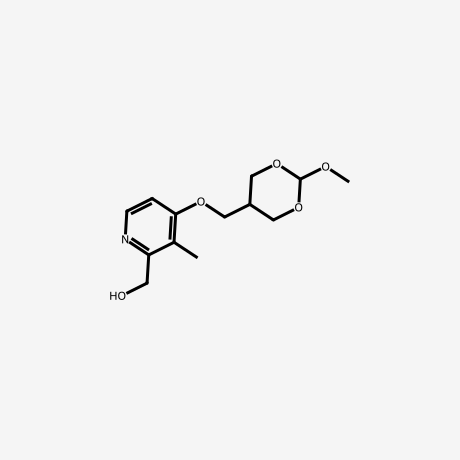 COC1OCC(COc2ccnc(CO)c2C)CO1